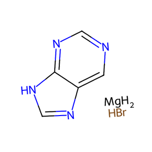 Br.[MgH2].c1ncc2nc[nH]c2n1